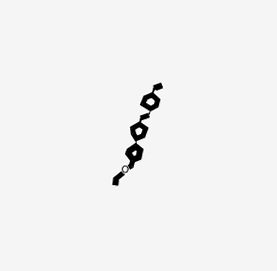 C=CCOCc1ccc([C@H]2CC[C@H](CC[C@H]3CC[C@H](C=C)CC3)CC2)cc1